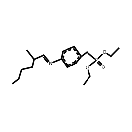 CCCCC(C)C=Nc1ccc(CP(=O)(OCC)OCC)cc1